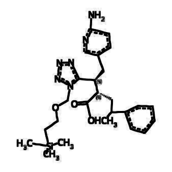 CC(C[C@H](C(=O)O)[C@H](Cc1ccc(N)nc1)c1nnnn1COCC[Si](C)(C)C)c1ccccc1